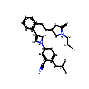 C=C1CC(CCc2ccccc2C2=CN(C3C=C(C#N)C(CC(C)C)=CC3)C2)CN1CCC